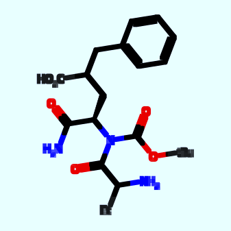 CCC(N)C(=O)N(C(=O)OC(C)(C)C)[C@H](CC(Cc1ccccc1)C(=O)O)C(N)=O